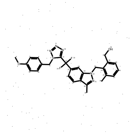 COc1ccc(Cn2nnnc2C(F)(F)c2ccc3c(C)nn(Cc4c(C)cccc4CO)c3c2)cc1